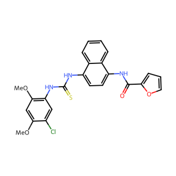 COc1cc(OC)c(NC(=S)Nc2ccc(NC(=O)c3ccco3)c3ccccc23)cc1Cl